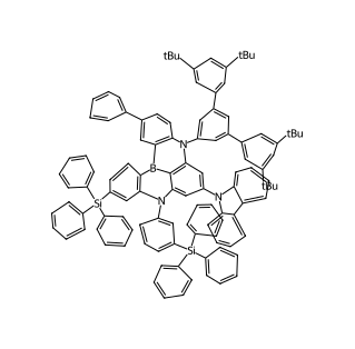 CC(C)(C)c1cc(-c2cc(-c3cc(C(C)(C)C)cc(C(C)(C)C)c3)cc(N3c4ccc(-c5ccccc5)cc4B4c5ccc([Si](c6ccccc6)(c6ccccc6)c6ccccc6)cc5N(c5cccc([Si](c6ccccc6)(c6ccccc6)c6ccccc6)c5)c5cc(-n6c7ccccc7c7ccccc76)cc3c54)c2)cc(C(C)(C)C)c1